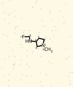 CN1CCC(NCF)C1